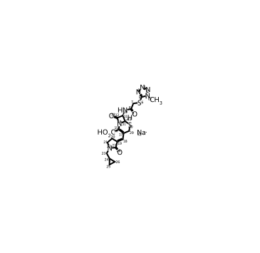 Cn1nnnc1SCC(=O)N[C@@H]1C(=O)N2C(C(=O)O)=C(C=C3CCN(CC4CC4)C3=O)CS[C@H]12.[Na]